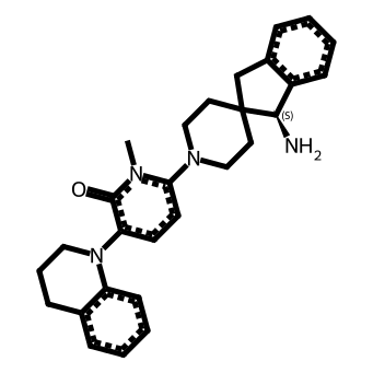 Cn1c(N2CCC3(CC2)Cc2ccccc2[C@H]3N)ccc(N2CCCc3ccccc32)c1=O